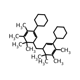 CC1=C(C)C(C)(C)C(CC2C=C(C3CCCCC3)C(C)=C(C)C2(C)C)C=C1C1CCCCC1